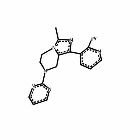 Cc1nc(-c2cccnc2C(C)C)c2n1CCN(c1ncccn1)C2